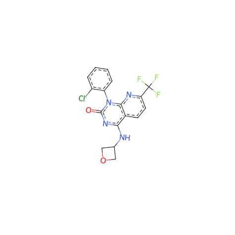 O=c1nc(NC2COC2)c2ccc(C(F)(F)F)nc2n1-c1ccccc1Cl